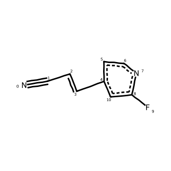 N#CC=Cc1ccnc(F)c1